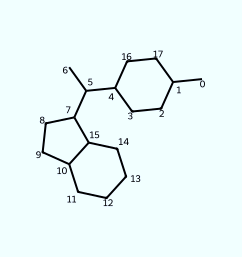 CC1CCC(C(C)C2CCC3CCCCC32)CC1